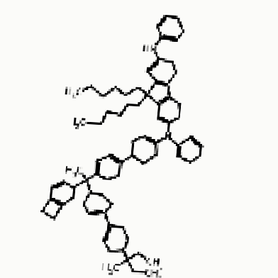 CCCCCCC1(CCCCCC)C2=C(CCC(NC3=CCCC=C3)=C2)C2=C1C=C(N(C1=CCCC=C1)C1=CCC(C3=CC=C(C(C)(C4C=CC5=C(CC5)C4)C4CC=C(C5=CCC(C(C)(CC)CC)CC5)CC4)CC3)CC1)CC2